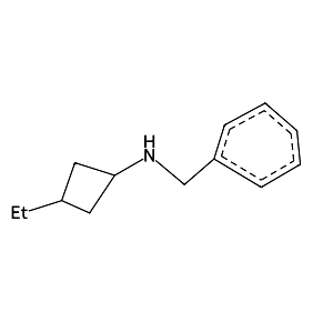 CCC1CC(NCc2ccccc2)C1